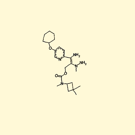 CN(N)/C(COC(=O)N(C)C1CC(C)(C)C1)=C(\N)c1ccc(OC2CCCCC2)cn1